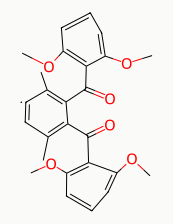 COc1cccc(OC)c1C(=O)c1c(C)[c]cc(C)c1C(=O)c1c(OC)cccc1OC